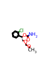 COCOC[C@@H](OC(N)=O)c1ccccc1Cl